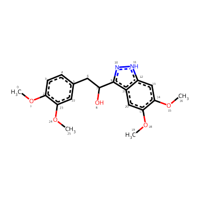 COc1ccc(CC(O)c2n[nH]c3cc(OC)c(OC)cc23)cc1OC